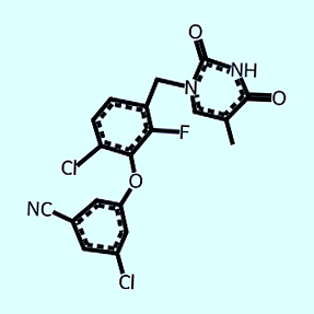 Cc1cn(Cc2ccc(Cl)c(Oc3cc(Cl)cc(C#N)c3)c2F)c(=O)[nH]c1=O